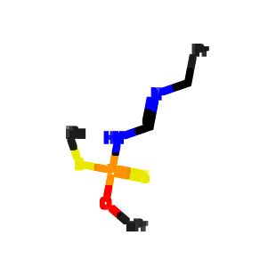 CCCOP(=S)(NC=NCC(C)C)SC(C)CC